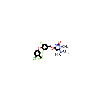 CN(C)c1cc(OCc2cc(F)c(Oc3ccc(Cl)c(C(F)(F)F)c3)c(F)c2)nc(=O)n1C